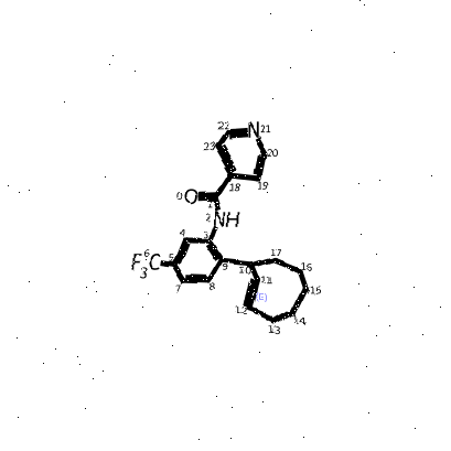 O=C(Nc1cc(C(F)(F)F)ccc1C1/C=C/CCCCC1)c1ccncc1